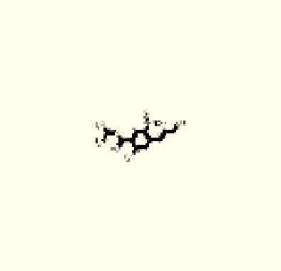 CC/C=C/c1cc(C)c(C(=O)N=C(N)N)cc1[N+](=O)[O-]